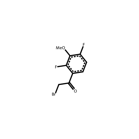 COc1c(F)ccc(C(=O)CBr)c1F